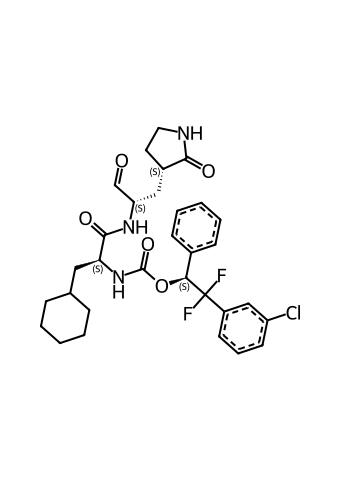 O=C[C@H](C[C@@H]1CCNC1=O)NC(=O)[C@H](CC1CCCCC1)NC(=O)O[C@@H](c1ccccc1)C(F)(F)c1cccc(Cl)c1